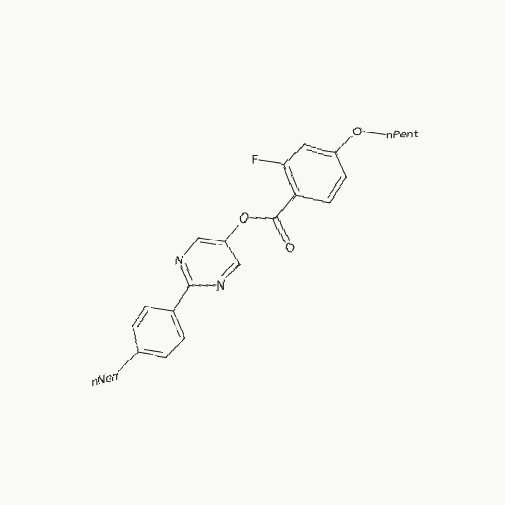 CCCCCCCCCc1ccc(-c2ncc(OC(=O)c3ccc(OCCCCC)cc3F)cn2)cc1